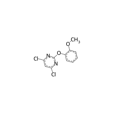 COc1ccccc1Oc1nc(Cl)cc(Cl)n1